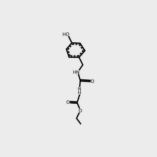 CCOC(=O)CNC(=O)NCc1ccc(O)cc1